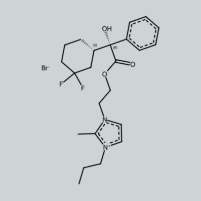 CCC[n+]1ccn(CCOC(=O)[C@](O)(c2ccccc2)[C@H]2CCCC(F)(F)C2)c1C.[Br-]